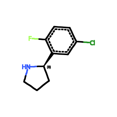 Fc1ccc(Cl)cc1[C@H]1CCCN1